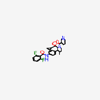 CC1=C(c2ccc(NC(=O)c3c(F)cccc3F)cc2)C(C(=O)C2CC2)N(C(=O)c2cccnc2)CC1